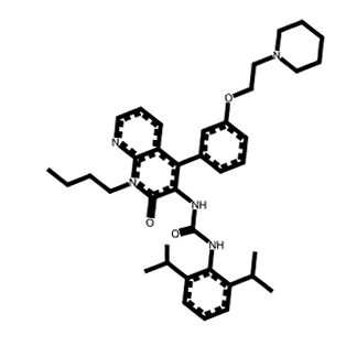 CCCCn1c(=O)c(NC(=O)Nc2c(C(C)C)cccc2C(C)C)c(-c2cccc(OCCN3CCCCC3)c2)c2cccnc21